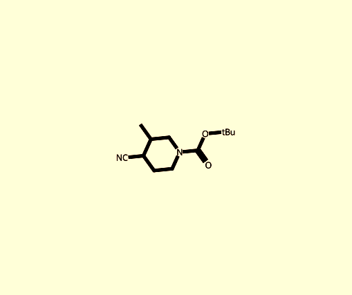 CC1CN(C(=O)OC(C)(C)C)CCC1C#N